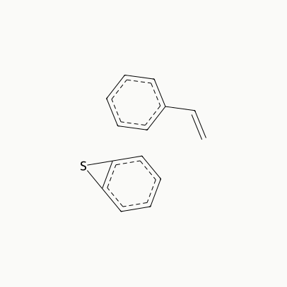 C=Cc1ccccc1.c1ccc2c(c1)S2